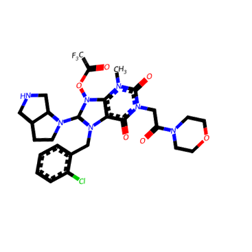 Cn1c2c(c(=O)n(CC(=O)N3CCOCC3)c1=O)N(Cc1ccccc1Cl)C(N1CCC3CNCC31)N2OC(=O)C(F)(F)F